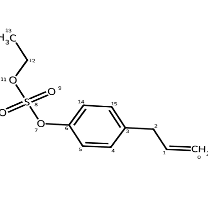 C=CCc1ccc(OS(=O)(=O)OCC)cc1